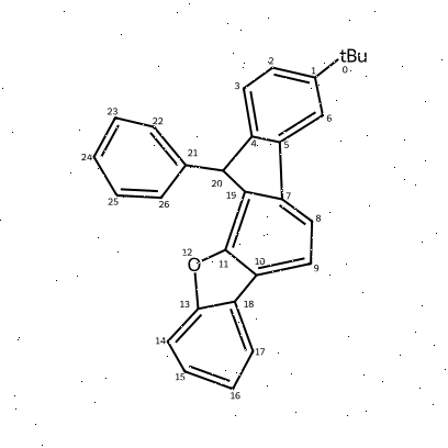 CC(C)(C)c1ccc2c(c1)-c1ccc3c(oc4ccccc43)c1C2c1ccccc1